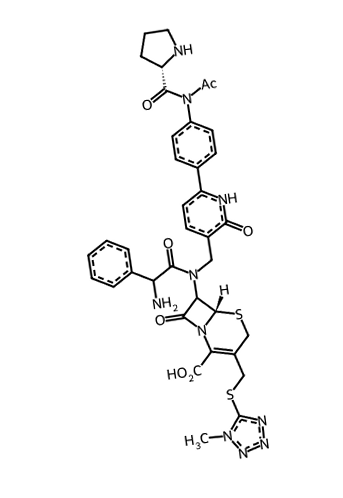 CC(=O)N(C(=O)[C@@H]1CCCN1)c1ccc(-c2ccc(CN(C(=O)C(N)c3ccccc3)C3C(=O)N4C(C(=O)O)=C(CSc5nnnn5C)CS[C@@H]34)c(=O)[nH]2)cc1